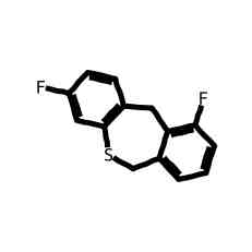 Fc1ccc2c(c1)SCc1cccc(F)c1C2